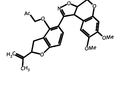 C=C(C)C1Cc2c(ccc(C3=NOC4COc5cc(OC)c(OC)cc5C34)c2OCC(C)=O)O1